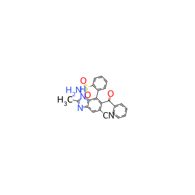 Cc1nc2cc(C#N)c(C(=O)c3ccccc3)c(-c3ccccc3S(N)(=O)=O)c2[nH]1